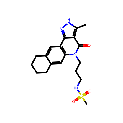 Cc1[nH]nc2c1c(=O)n(CCCNS(C)(=O)=O)c1cc3c(cc21)CCCC3